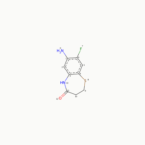 Nc1cc2c(cc1F)SCCC(=O)N2